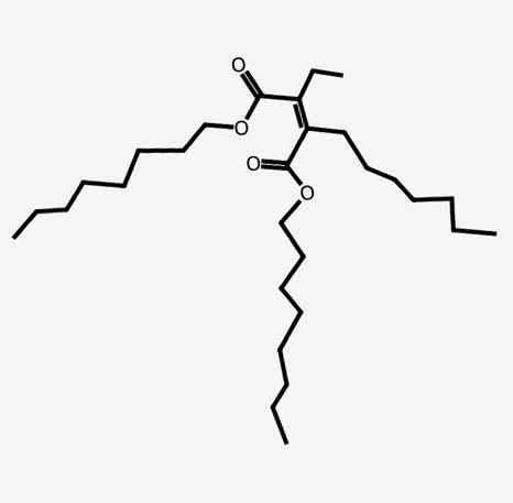 CCCCCCCCOC(=O)C(CC)=C(CCCCCCC)C(=O)OCCCCCCCC